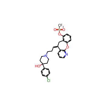 O=S(=O)(Oc1cccc2c1C/C(=C/CCN1CCC(O)(c3ccc(Cl)cc3)CC1)c1cccnc1O2)C(F)(F)F